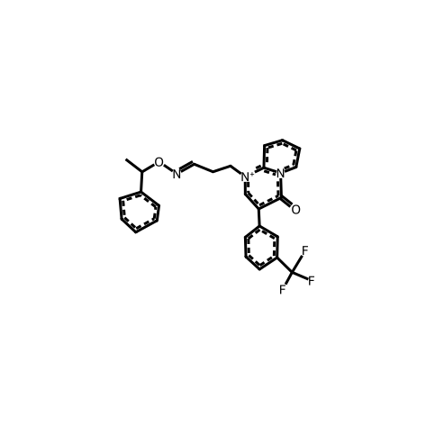 CC(ON=CCC[n+]1cc(-c2cccc(C(F)(F)F)c2)c(=O)n2ccccc21)c1ccccc1